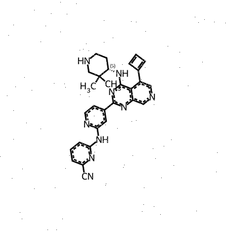 CC1(C)CNCC[C@@H]1Nc1nc(-c2ccnc(Nc3cccc(C#N)n3)c2)nc2cncc(C3=CC=C3)c12